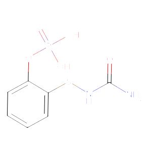 NC(=O)NSc1ccccc1OP(=O)(O)O